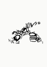 COc1nc2ccc(C(O)(c3ccc(C)cc3)c3cncn3C)cc2c(Cl)c1Cc1ccc(S(C)(=O)=O)cc1